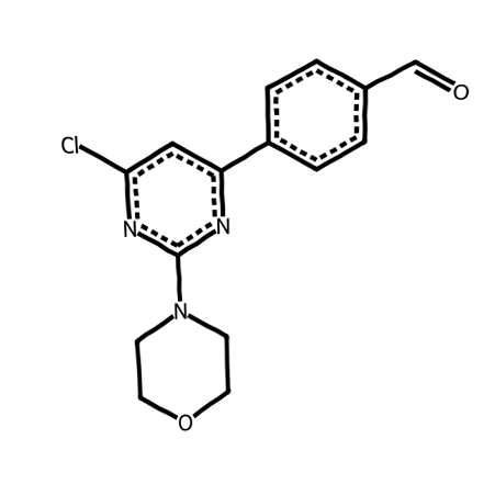 O=Cc1ccc(-c2cc(Cl)nc(N3CCOCC3)n2)cc1